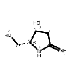 Cl.N=C1CC[C@@H](CO)N1